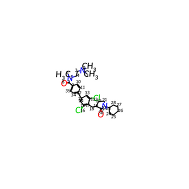 CN(C)CCN(C)C(=O)c1ccc(-c2cc(Cl)c(CC3CCN(C4CCCCC4)C3=O)c(Cl)c2)cc1